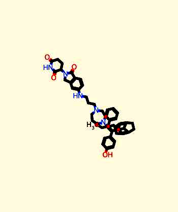 CC/C(=C(\c1ccc(O)cc1)C1C2=C3CCC(=C1CC2)C3CCCN1CCCN(CCCNc2ccc3c(c2)CN(C2CCC(=O)NC2=O)C3=O)CC1)c1ccccc1